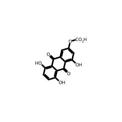 O=C(O)Oc1cc(O)c2c(c1)C(=O)c1c(O)ccc(O)c1C2=O